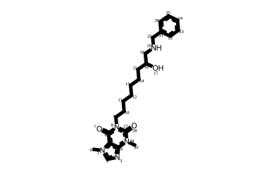 Cn1cnc2c1c(=O)n(CCCCCCCC(O)CNCc1ccccc1)c(=O)n2C